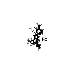 NC(c1nc2nc(C3CC(F)(F)CCN3C(=O)C34CC(F)(C3)C4)ccc2[nH]1)C(C1CC1)C1CC1.[Pd]